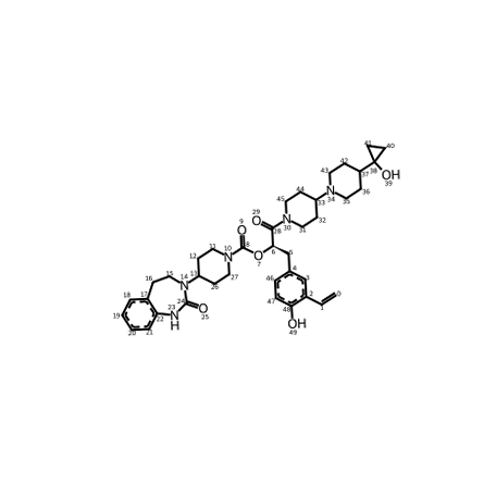 C=Cc1cc(C[C@@H](OC(=O)N2CCC(N3CCc4ccccc4NC3=O)CC2)C(=O)N2CCC(N3CCC(C4(O)CC4)CC3)CC2)ccc1O